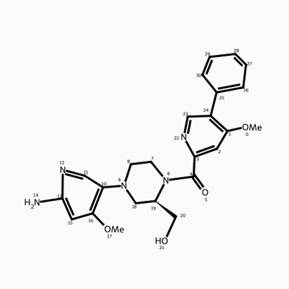 COc1cc(C(=O)N2CCN(c3cnc(N)cc3OC)C[C@@H]2CO)ncc1-c1ccccc1